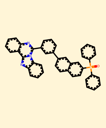 O=P(c1ccccc1)(c1ccccc1)c1ccc2ccc(-c3cccc(-c4nc5ccccc5c5nc6ccccc6n45)c3)cc2c1